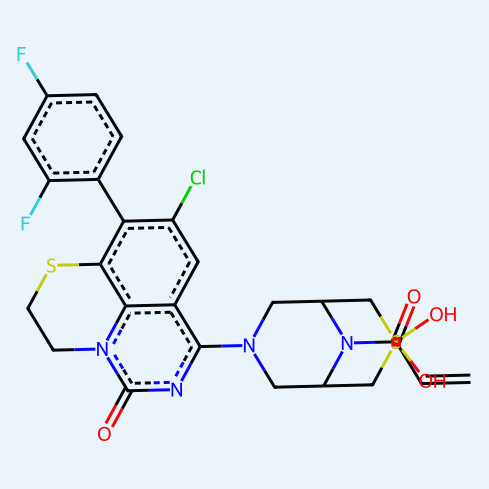 C=CC(=O)N1C2CN(c3nc(=O)n4c5c(c(-c6ccc(F)cc6F)c(Cl)cc35)SCC4)CC1CS(O)(O)C2